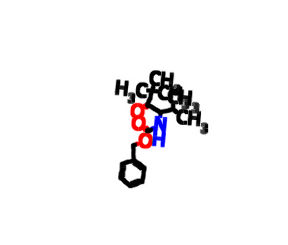 CC(C)C(NC(=O)OCc1ccccc1)C(=O)C(C)(C)C